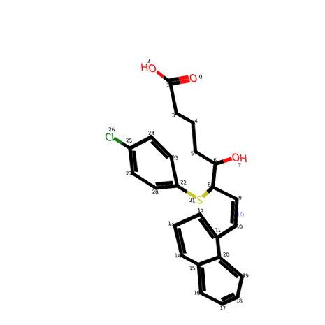 O=C(O)CCCC(O)C(/C=C\c1cccc2ccccc12)Sc1ccc(Cl)cc1